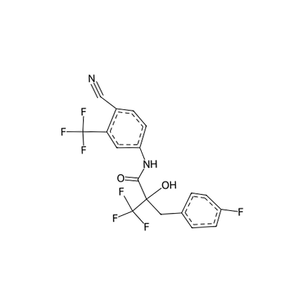 N#Cc1ccc(NC(=O)C(O)(Cc2ccc(F)cc2)C(F)(F)F)cc1C(F)(F)F